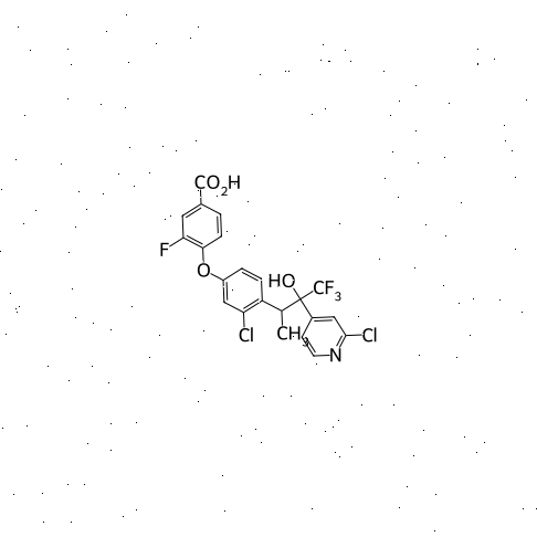 CC(c1ccc(Oc2ccc(C(=O)O)cc2F)cc1Cl)C(O)(c1ccnc(Cl)c1)C(F)(F)F